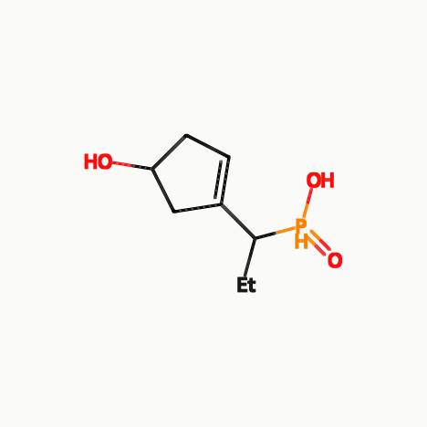 CCC(C1=CCC(O)C1)[PH](=O)O